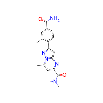 Cc1cc(C(N)=O)ccc1-c1cc2nc(C(=O)N(C)C)cc(C)n2n1